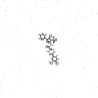 COc1cc(N2CCN(C(=O)Cn3nc(-c4ccccn4)c(Cl)c3C(F)(F)F)CC2)ccc1Cl